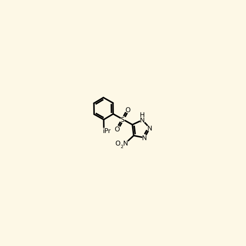 CC(C)c1ccccc1S(=O)(=O)c1[nH]nnc1[N+](=O)[O-]